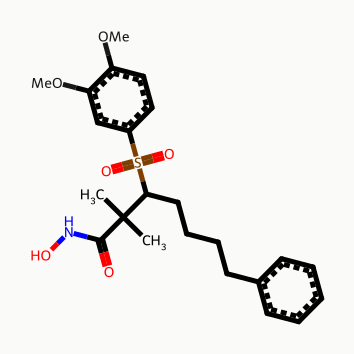 COc1ccc(S(=O)(=O)C(CCCCc2ccccc2)C(C)(C)C(=O)NO)cc1OC